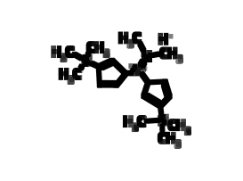 C[Si](C)=[Zr+]([CH]1C=CC([Si](C)(C)C)=C1)[CH]1C=CC([Si](C)(C)C)=C1.[H-]